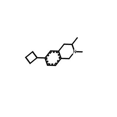 CC1Cc2cc(C3CCC3)ccc2CN1C